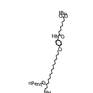 CCCCCOC(CCN)CCCCCCCCCCCCCCOc1ccc(NC(=O)CCCCCCC(=O)OC(C)(C)C)cc1